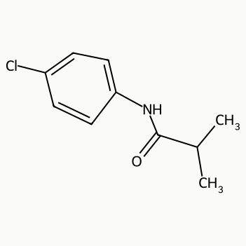 CC(C)C(=O)Nc1ccc(Cl)cc1